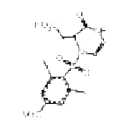 COc1cc(C)c(S(=O)(=O)N2C=CNC(=O)C2CC(=O)O)c(C)c1